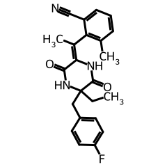 CCC1(Cc2ccc(F)cc2)NC(=O)C(=C(C)c2c(C)cccc2C#N)NC1=O